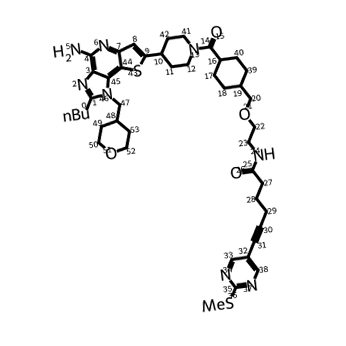 CCCCc1nc2c(N)nc3cc(C4CCN(C(=O)C5CCC(COCCNC(=O)CCCC#Cc6cnc(SC)nc6)CC5)CC4)sc3c2n1CC1CCOCC1